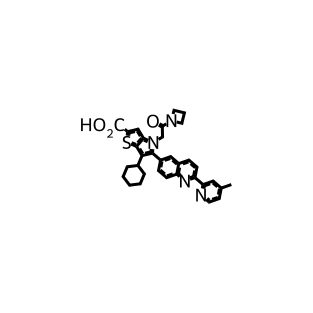 Cc1ccnc(-c2ccc3cc(-c4c(C5CCCCC5)c5sc(C(=O)O)cc5n4CC(=O)N4CCC4)ccc3n2)c1